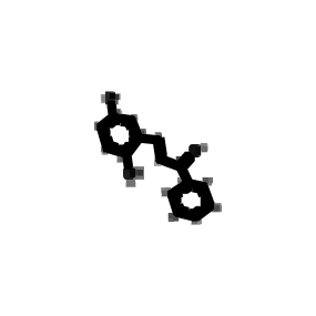 O=C(C=Cc1cc(Br)ccc1O)c1ccccc1